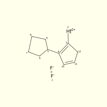 [F-].[F-].[Hf+2][C]1=C(C2CCCC2)C=CC1